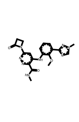 CNC(=O)c1nnc(N2CCC2=O)cc1Nc1cccc(-c2ncn(C)n2)c1OC